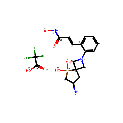 NC1CC2(CN(c3ccccc3C=CC(=O)NO)C2)S(O)(O)C1.O=C(O)C(F)(F)F